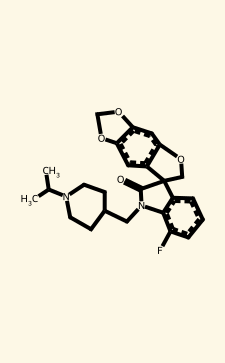 CC(C)N1CCC(CN2C(=O)C3(COc4cc5c(cc43)OCO5)c3cccc(F)c32)CC1